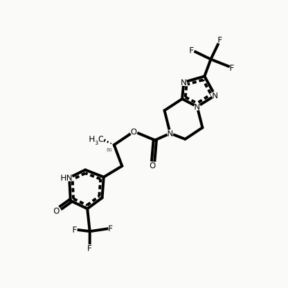 C[C@@H](Cc1c[nH]c(=O)c(C(F)(F)F)c1)OC(=O)N1CCn2nc(C(F)(F)F)nc2C1